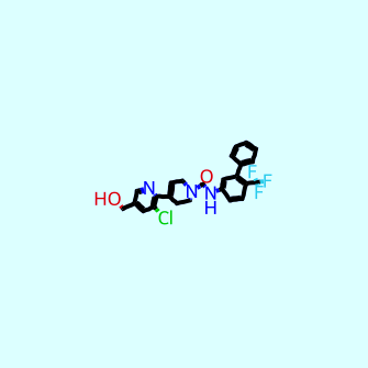 O=C(Nc1ccc(C(F)(F)F)c(-c2ccccc2)c1)N1CC=C(c2ncc(CO)cc2Cl)CC1